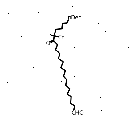 CCCCCCCCCCCCCCC(C)(CC)C(=O)CCCCCCCCCCCCCCCC=O